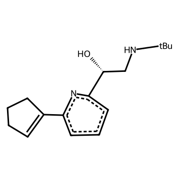 CC(C)(C)NC[C@@H](O)c1cccc(C2=CCCC2)n1